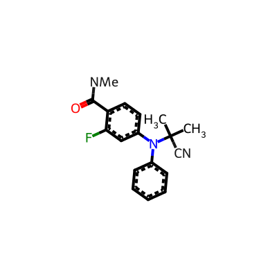 CNC(=O)c1ccc(N(c2ccccc2)C(C)(C)C#N)cc1F